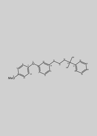 COc1ccc(Oc2cccc(CCCC(C)(C)c3ccccc3)c2)cc1